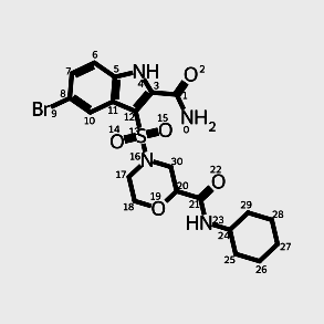 NC(=O)c1[nH]c2ccc(Br)cc2c1S(=O)(=O)N1CCOC(C(=O)NC2CCCCC2)C1